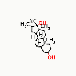 CC1C[C@H]2[C@@H]3CC=C4CC(O)CC[C@]4(C)[C@@H]3CC[C@]2(C)C1(O)C#N